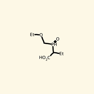 CCOC[PH](=O)C(CC)C(=O)O